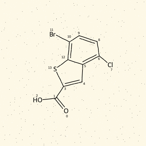 O=C(O)c1cc2c(Cl)ccc(Br)c2s1